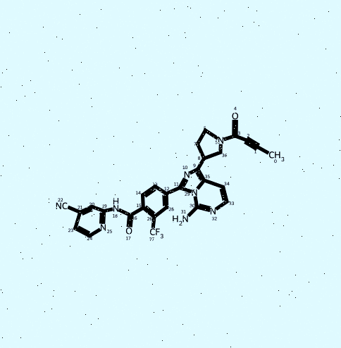 CC#CC(=O)N1CCC(c2nc(-c3ccc(C(=O)Nc4cc(C#N)ccn4)c(C(F)(F)F)c3)n3c(N)nccc23)C1